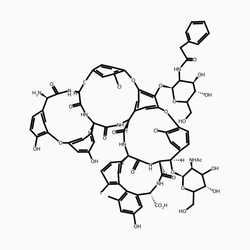 CC(=O)N[C@H]1C(O)[C@H](O)C(CO)O[C@H]1O[C@@H]1c2ccc(c(Cl)c2)Oc2cc3cc(c2O[C@@H]2OC(CO)[C@@H](O)[C@H](O)C2NC(=O)Cc2ccccc2)Oc2ccc(cc2Cl)C[C@H]2NC(=O)[C@H](N)c4ccc(O)c(c4)Oc4cc(O)cc(c4)[C@H](NC2=O)C(=O)N[C@H]3C(=O)N[C@H]2C(=O)N[C@@H]1C(=O)N[C@H](C(=O)O)c1cc(O)cc(C)c1-c1cc2ccc1I